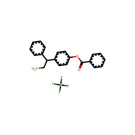 F[B-](F)(F)F.O=C(Oc1ccc(C(C[SH2+])c2ccccc2)cc1)c1ccccc1